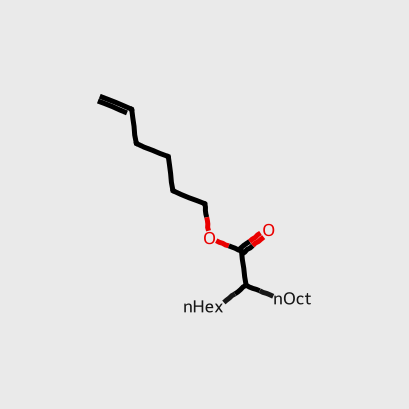 C=CCCCCOC(=O)C(CCCCCC)CCCCCCCC